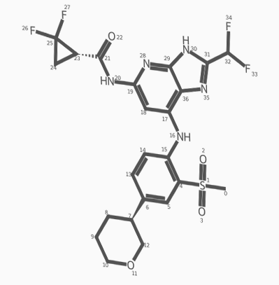 CS(=O)(=O)c1cc([C@@H]2CCCOC2)ccc1Nc1cc(NC(=O)[C@@H]2CC2(F)F)nc2[nH]c(C(F)F)nc12